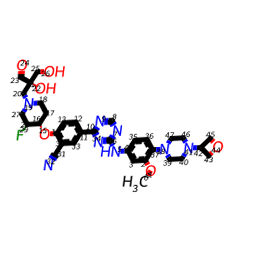 COc1cc(Nc2ncnc(-c3ccc(O[C@H]4CCN(C[C@@](O)(C=O)CO)C[C@H]4F)c(C#N)c3)n2)ccc1N1CCN(C2COC2)CC1